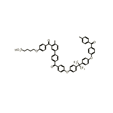 Cc1ccc(C(=O)c2ccc(Oc3ccc(C(c4ccc(Oc5ccc(C(=O)c6ccc(-c7ccc(C)c(C(=O)c8ccc(OCCCCS(=O)(=O)O)cc8)c7)cc6)cc5)cc4)(C(F)(F)F)C(F)(F)F)cc3)cc2)cc1